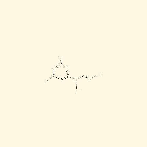 CCCN=CN(CCC)c1cc(Cl)cc(=O)[nH]1